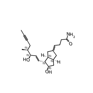 CC#CC[C@H](C)[C@H](O)C=C[C@@H]1[C@H]2CC(=CCCC(N)=O)C[C@H]2C[C@H]1O